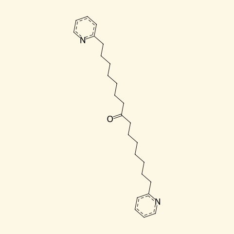 O=C(CCCCCCCc1ccccn1)CCCCCCCc1ccccn1